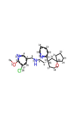 COc1ncc(CNCC[C@@]2(c3ccccn3)CCOC3(CCCC3)C2)cc1Cl